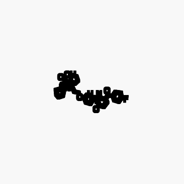 Nc1c(C(=O)c2ccc(F)cc2)ccc(=O)n1-c1ccc(OCCCNC(Cc2ccccc2)(C(=O)O)C2CCCC2)cc1